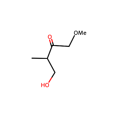 COCC(=O)C(C)CO